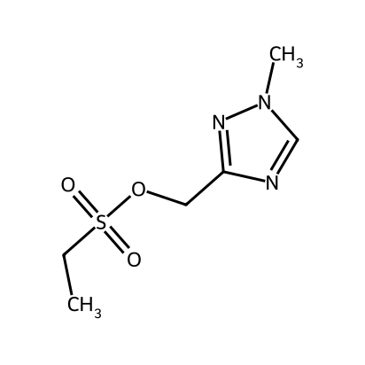 CCS(=O)(=O)OCc1ncn(C)n1